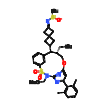 COCN1c2nc(cc(-c3c(C)cccc3C)n2)OC[C@@H](CC(C)(C)C)C(C2CC3(CC(=N[S+]([O-])C(C)(C)C)C3)C2)c2cccc(c2)S1(=O)=O